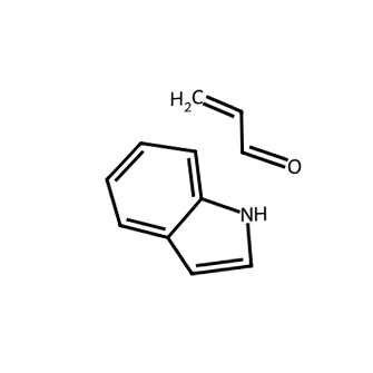 C=CC=O.c1ccc2[nH]ccc2c1